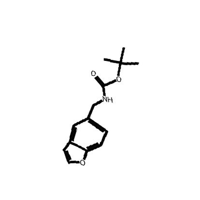 CC(C)(C)OC(=O)NCc1ccc2occc2c1